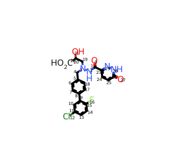 O=C(NN(Cc1ccc(-c2cc(Cl)ccc2F)cc1)CC(O)C(=O)O)c1ccc(=O)[nH]n1